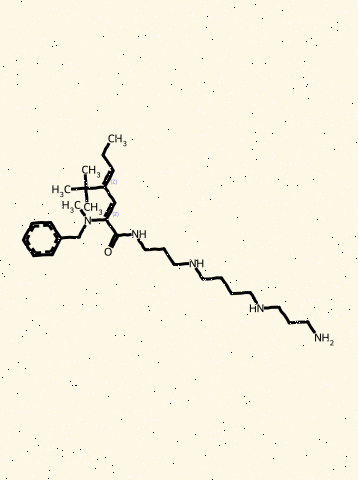 CC/C=C(/C=C(/C(=O)NCCCNCCCCNCCCN)N(C)Cc1ccccc1)C(C)(C)C